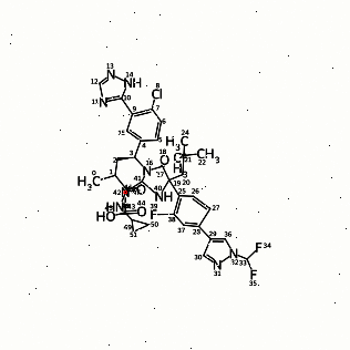 CC(C[C@@H](c1ccc(Cl)c(-c2ncn[nH]2)c1)N1C(=O)C(CC(C)(C)C)(c2ccc(-c3cnn(C(F)F)c3)cc2F)NC1=NC(=O)O)C(=O)NC1CC1